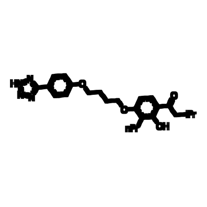 CCCc1c(OCCCCOc2ccc(-c3nn[nH]n3)cc2)ccc(C(=O)CC(C)C)c1O